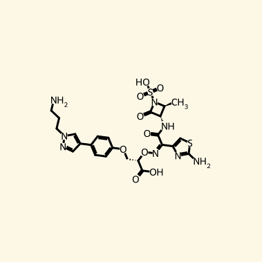 C[C@H]1[C@H](NC(=O)/C(=N\O[C@@H](COc2ccc(-c3cnn(CCCN)c3)cc2)C(=O)O)c2csc(N)n2)C(=O)N1S(=O)(=O)O